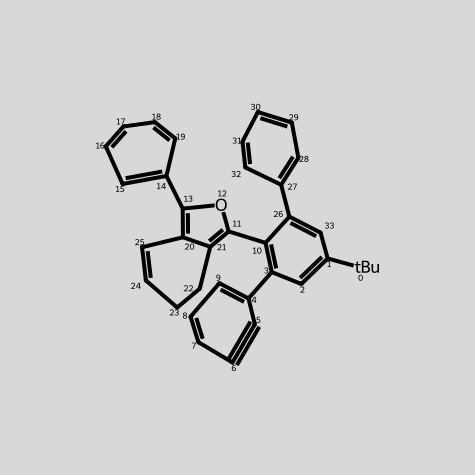 CC(C)(C)c1cc(-c2c#cccc2)c(-c2oc(-c3ccccc3)c3c2CCC=C3)c(-c2ccccc2)c1